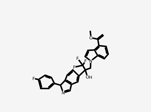 C=C(OC)c1cccc2c1ccn2CC(O)(c1ccc2c(c1)C=NC2c1ccc(F)cc1)C(F)(F)F